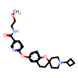 COCCNC(=O)c1ccc(Oc2ccc3c(c2)CCC2(CCN(C4CCC4)CC2)O3)nc1